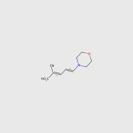 N#C/C(=C\C=C\N1CCOCC1)C(=O)O